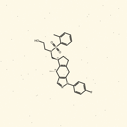 Cc1ccccc1S(=O)(=O)N(CCO)C[C@H]1CCC2=C1[C@@H](C)c1cnn(-c3ccc(F)cc3)c1C2